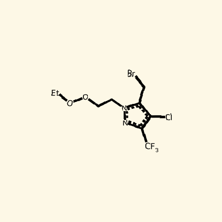 CCOOCCn1nc(C(F)(F)F)c(Cl)c1CBr